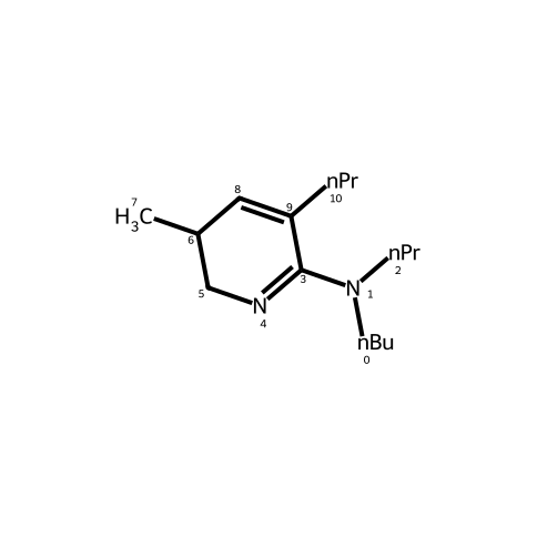 CCCCN(CCC)C1=NCC(C)C=C1CCC